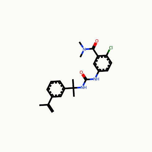 C=C(C)c1cccc(C(C)(C)NC(=O)Nc2ccc(Cl)c(C(=O)N(C)C)c2)c1